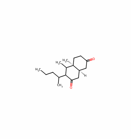 CCCC(C)C1C(=O)C[C@@H]2CC(=O)CC[C@]2(C)C1C